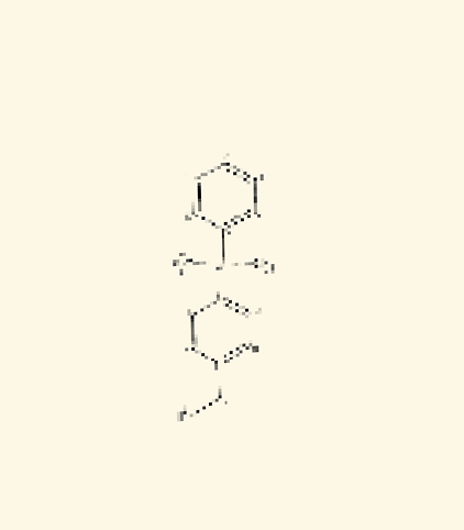 CC(C)Cc1ccc(C(c2ccccc2)(C(F)(F)F)C(F)(F)F)cc1